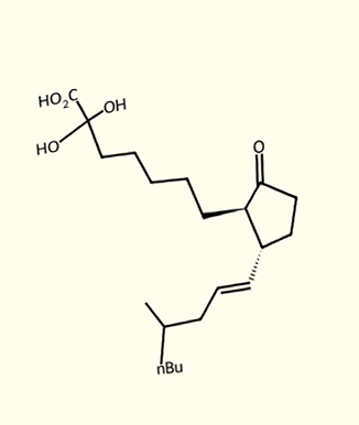 CCCCC(C)CC=C[C@H]1CCC(=O)[C@@H]1CCCCCC(O)(O)C(=O)O